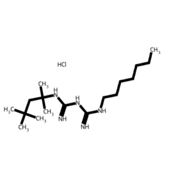 CCCCCCCNC(=N)NC(=N)NC(C)(C)CC(C)(C)C.Cl